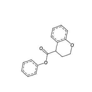 O=C(Oc1ccccc1)C1CCOc2ccccc21